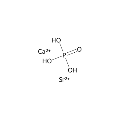 O=P(O)(O)O.[Ca+2].[Sr+2]